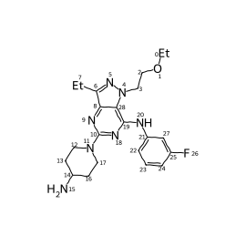 CCOCCn1nc(CC)c2nc(N3CCC(N)CC3)nc(Nc3cccc(F)c3)c21